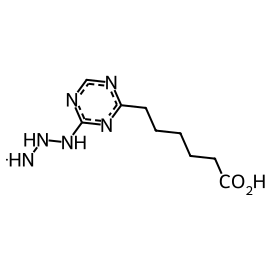 [NH]NNc1ncnc(CCCCCC(=O)O)n1